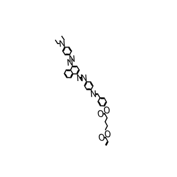 C=CC(=O)OCCCCC(=O)Oc1ccc(/C=N/c2ccc(/N=N/c3ccc(/N=N/c4ccc(N(CC)CC)cc4)c4ccccc34)cc2)cc1